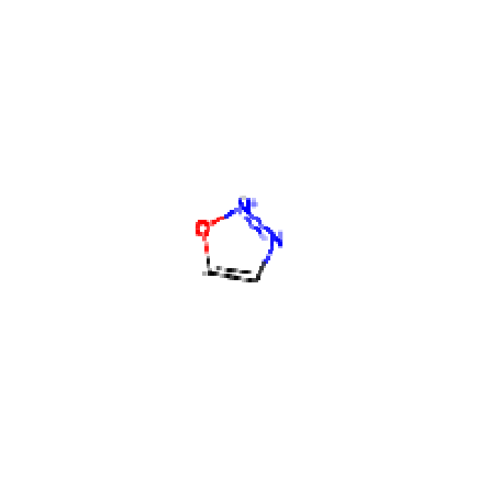 [C]1=CN=[N+]O1